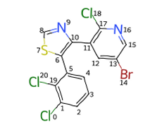 Clc1cccc(-c2scnc2-c2cc(Br)cnc2Cl)c1Cl